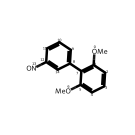 COc1cccc(OC)c1-c1cccc(N=O)c1